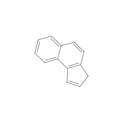 C1=Cc2c(ccc3ccccc23)C1